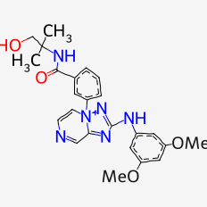 COc1cc(NC2=N[N+]3(c4cccc(C(=O)NC(C)(C)CO)c4)C=CN=CC3=N2)cc(OC)c1